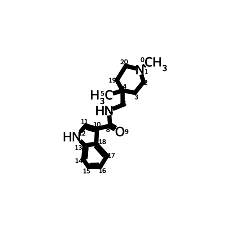 CN1CCC(C)(CNC(=O)c2c[nH]c3ccccc23)CC1